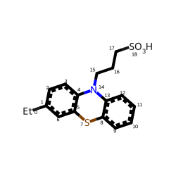 CCc1ccc2c(c1)Sc1ccccc1N2CCCS(=O)(=O)O